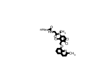 CCCCCCC(=O)NCC(=O)N(C)c1ccc(Cl)c(COc2cccc3ccc(C)nc23)c1Cl.Cl